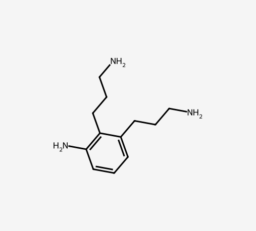 NCCCc1cccc(N)c1CCCN